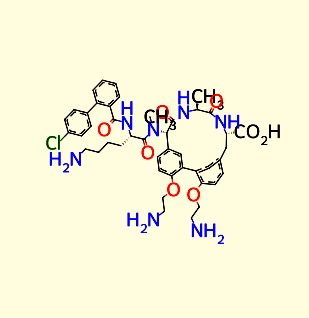 C[C@@H]1NC(=O)[C@@H](N(C)C(=O)[C@H](CCCCN)NC(=O)c2ccccc2-c2ccc(Cl)cc2)c2ccc(OCCN)c(c2)-c2cc(ccc2OCCN)C[C@@H](C(=O)O)NC1=O